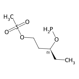 CC[C@@H](CCOS(C)(=O)=O)OP